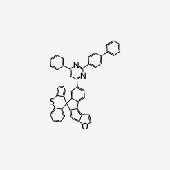 c1ccc(-c2ccc(-c3nc(-c4ccccc4)cc(-c4ccc5c(c4)C4(c6ccccc6Sc6ccccc64)c4ccc6occc6c4-5)n3)cc2)cc1